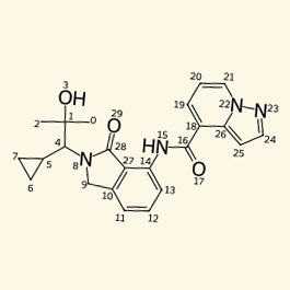 CC(C)(O)C(C1CC1)N1Cc2cccc(NC(=O)c3cccn4nccc34)c2C1=O